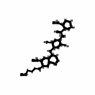 CNCCCOc1cc2nccc(Oc3cc(F)c(NC(=O)c4cnccc4OC)cc3F)c2cc1OC